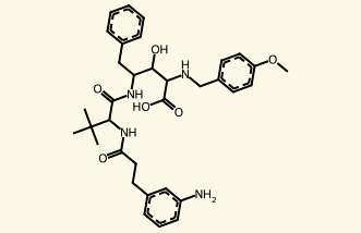 COc1ccc(CNC(C(=O)O)C(O)C(Cc2ccccc2)NC(=O)C(NC(=O)CCc2cccc(N)c2)C(C)(C)C)cc1